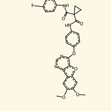 COc1cc2oc3c(Oc4ccc(NC(=O)C5(C(=O)Nc6ccc(F)cc6)CC5)cc4)ncnc3c2cc1OC